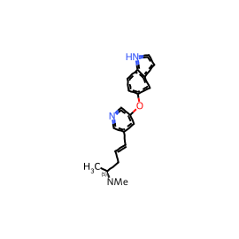 CN[C@@H](C)CC=Cc1cncc(Oc2ccc3[nH]ccc3c2)c1